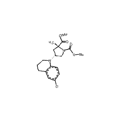 COC(=O)[C@@]1(C)C[C@@H](N2CCCc3cc(Cl)ccc32)CN1C(=O)OC(C)(C)C